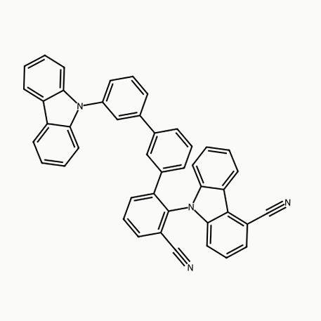 N#Cc1cccc(-c2cccc(-c3cccc(-n4c5ccccc5c5ccccc54)c3)c2)c1-n1c2ccccc2c2c(C#N)cccc21